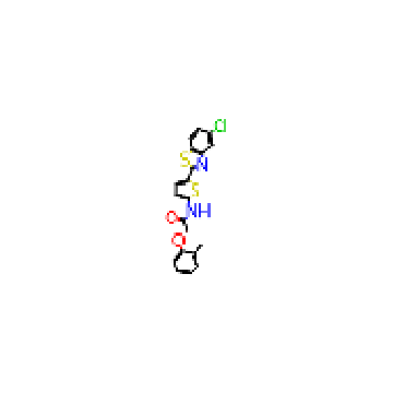 Cc1ccccc1OCC(=O)Nc1ccc(-c2nc3cc(Cl)ccc3s2)s1